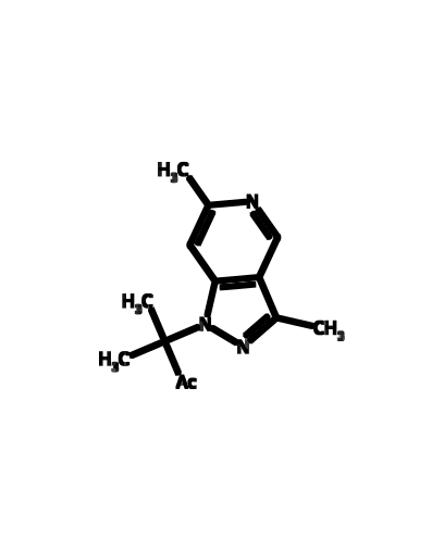 CC(=O)C(C)(C)n1nc(C)c2cnc(C)cc21